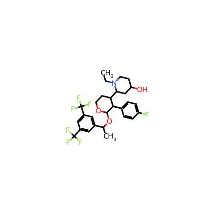 CCN1CCC(O)CC1C1CCOC(OC(C)c2cc(C(F)(F)F)cc(C(F)(F)F)c2)C1c1ccc(F)cc1